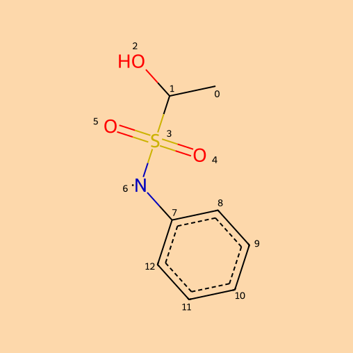 CC(O)S(=O)(=O)[N]c1ccccc1